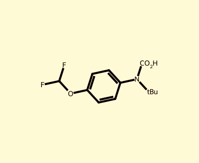 CC(C)(C)N(C(=O)O)c1ccc(OC(F)F)cc1